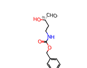 O=[C][C@@H](O)CCNC(=O)OCc1ccccc1